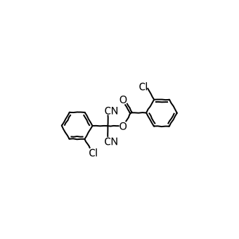 N#CC(C#N)(OC(=O)c1ccccc1Cl)c1ccccc1Cl